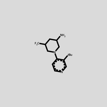 CC(C)(C)c1cnccc1N1CC(N)CC(C(F)(F)F)C1